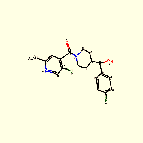 CC(=O)Nc1cc(C(=O)N2CCC(C(O)c3ccc(F)cc3)CC2)c(Cl)cn1